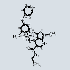 CCOC(=O)c1cnc2c(c(C)nn2C)c1NS(=O)(=O)c1ccc(Oc2ccncc2)cc1C